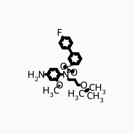 COc1cc(N)ccc1N(CCCOC(C)(C)C)S(=O)(=O)c1cccc(-c2ccc(F)cc2)c1